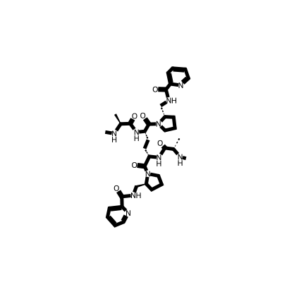 CN[C@@H](C)C(=O)N[C@@H](CC[C@H](NC(=O)[C@H](C)NC)C(=O)N1CCC[C@H]1CNC(=O)c1ccccn1)C(=O)N1CCC[C@H]1CNC(=O)c1ccccn1